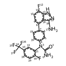 NC(=O)N(c1ccc(-c2ccc(F)c3[nH]nc(N)c23)cc1)c1cc(C(F)(F)F)ccc1F